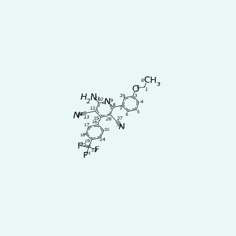 CCOc1cccc(-c2nc(N)c(C#N)c(-c3ccc(C(F)(F)F)cc3)c2C#N)c1